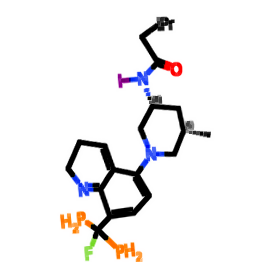 CC(C)CC(=O)N(I)[C@@H]1C[C@H](C)CN(c2ccc(C(F)(P)P)c3c2=CCCN=3)C1